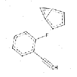 C#Cc1ccccc1F.c1cc2cc-2c1